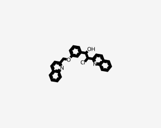 OC(c1cccc(OCc2ccc3ccccc3n2)c1)C(Cl)c1ccc2ccccc2n1